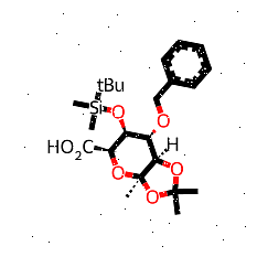 CC1(C)O[C@@H]2[C@@H](OCc3ccccc3)[C@H](O[Si](C)(C)C(C)(C)C)[C@H](C(=O)O)O[C@]2(C)O1